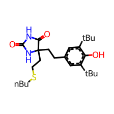 CCCCSCCC1(CCc2cc(C(C)(C)C)c(O)c(C(C)(C)C)c2)NC(=O)NC1=O